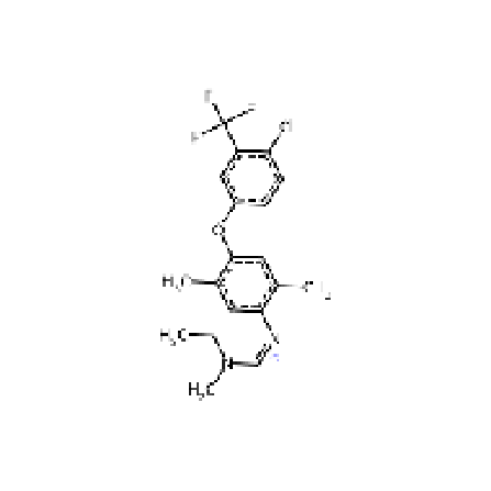 CCN(C)/C=N\c1cc(C)c(Oc2ccc(Cl)c(C(F)(F)F)c2)cc1C